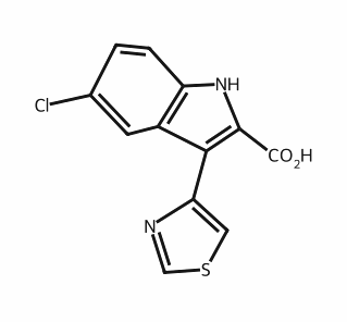 O=C(O)c1[nH]c2ccc(Cl)cc2c1-c1cscn1